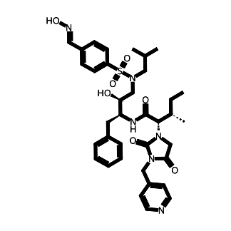 CC[C@H](C)[C@@H](C(=O)N[C@@H](Cc1ccccc1)[C@@H](O)CN(CC(C)C)S(=O)(=O)c1ccc(C=NO)cc1)N1CC(=O)N(Cc2ccncc2)C1=O